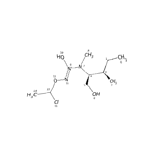 CC[C@@H](C)[C@@H](CO)N(C)/[N+](O)=N/OC(C)Cl